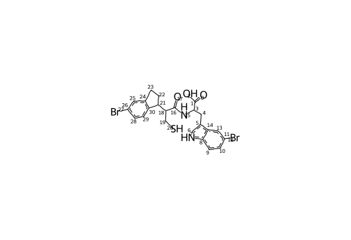 O=C(O)C(Cc1c[nH]c2ccc(Br)cc12)NC(=O)C(CS)C1CCc2cc(Br)ccc21